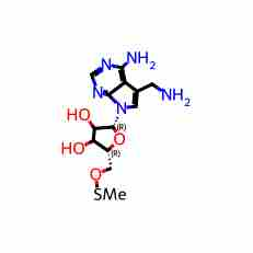 CSOC[C@H]1O[C@@H](n2cc(CN)c3c(N)ncnc32)C(O)C1O